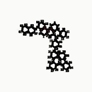 c1ccc(-c2cccc(-c3ccccc3N(c3ccc(-c4ccc(-c5ccccc5-n5c6ccccc6c6ccccc65)cc4)cc3)c3ccc(-c4cccc(-c5ccc6ccccc6c5)c4)cc3)c2)cc1